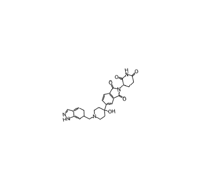 O=C1CCC(N2C(=O)c3ccc(C4(O)CCN(CC5C=c6[nH]ncc6=CC5)CC4)cc3C2=O)C(=O)N1